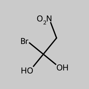 O=[N+]([O-])CC(O)(O)Br